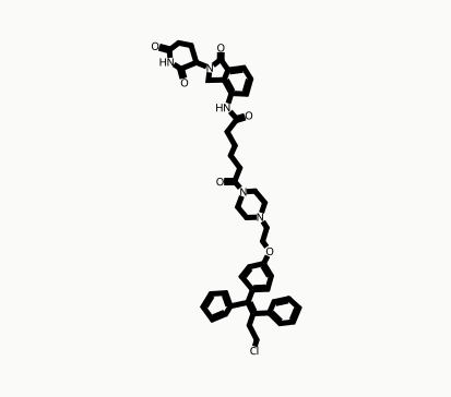 O=C1CCC(N2Cc3c(NC(=O)CCCCC(=O)N4CCN(CCOc5ccc(/C(=C(/CCCl)c6ccccc6)c6ccccc6)cc5)CC4)cccc3C2=O)C(=O)N1